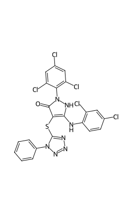 O=c1c(Sc2nnnn2-c2ccccc2)c(Nc2ccc(Cl)cc2Cl)[nH]n1-c1c(Cl)cc(Cl)cc1Cl